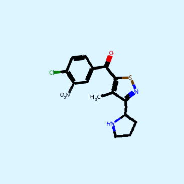 Cc1c(C2CCCN2)nsc1C(=O)c1ccc(Cl)c([N+](=O)[O-])c1